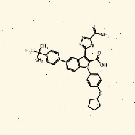 CC(C)(C)c1ccc(-c2ccc3c(c2)c(C2=NN=C(C(N)=O)[N]2)c(C(=O)O)n3-c2ccc(OC3CCCC3)cc2)cc1